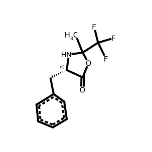 CC1(C(F)(F)F)N[C@@H](Cc2ccccc2)C(=O)O1